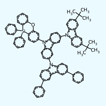 CC(C)(C)c1ccc2c(c1)c1cc(C(C)(C)C)ccc1n2-c1ccc2c(c1)c1cc(-n3c4ccc(-c5ccccc5)cc4c4cc(-c5ccccc5)ccc43)ccc1n2-c1ccc2c(c1)Oc1ccccc1[Si]2(c1ccccc1)c1ccccc1